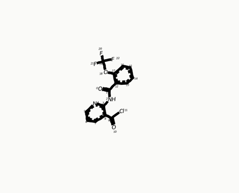 O=C(Nc1ncccc1C(=O)Cl)c1ccccc1OC(F)(F)F